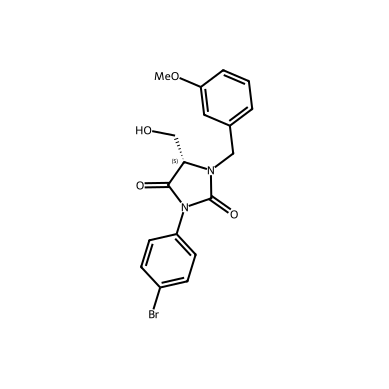 COc1cccc(CN2C(=O)N(c3ccc(Br)cc3)C(=O)[C@@H]2CO)c1